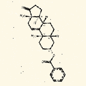 C[C@]12CC[C@@H](OC(=O)c3ccccc3)C[C@H]1CC[C@@H]1C2=CC[C@]2(C)C(=O)CC[C@@H]12